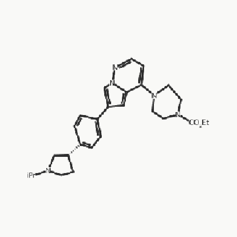 CCOC(=O)N1CCN(c2ccnn3cc(-c4ccc([C@@H]5CCN(C(C)C)C5)cc4)cc23)CC1